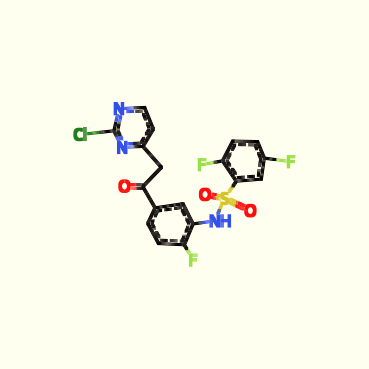 O=C(Cc1ccnc(Cl)n1)c1ccc(F)c(NS(=O)(=O)c2cc(F)ccc2F)c1